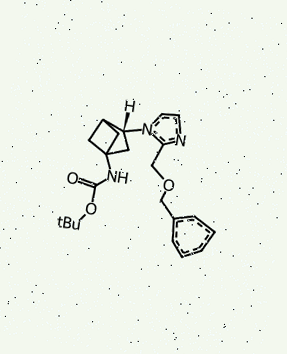 CC(C)(C)OC(=O)NC12CC(C1)[C@H](n1ccnc1COCc1ccccc1)C2